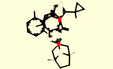 CC1(c2onc(-c3c(Cl)cccc3Cl)c2C(=O)OC2C[C@H]3CC[C@@H](C2)N3c2nc3c(F)cc(C(=O)O)cc3s2)CC1